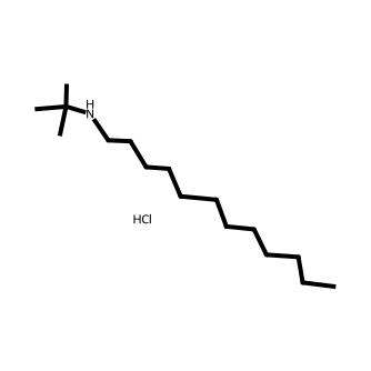 CCCCCCCCCCCCNC(C)(C)C.Cl